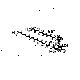 CCCCCCCCCCCCCCCC(=O)OC[C@H](O)[C@H]1OC(=O)C(O)=C1O.CCCCCCCCCCCCOS(=O)(=O)[O-].[Na+]